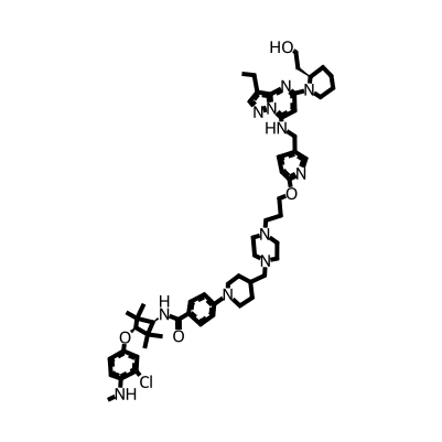 CCc1cnn2c(NCc3ccc(OCCCN4CCN(CC5CCN(c6ccc(C(=O)N[C@H]7C(C)(C)[C@H](Oc8ccc(NC)c(Cl)c8)C7(C)C)cc6)CC5)CC4)nc3)cc(N3CCCC[C@@H]3CCO)nc12